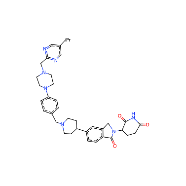 CC(C)c1cnc(CN2CCN(c3ccc(CN4CCC(c5ccc6c(c5)CN(C5CCC(=O)NC5=O)C6=O)CC4)cc3)CC2)nc1